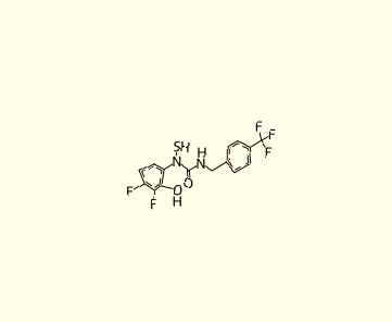 O=C(NCc1ccc(C(F)(F)F)cc1)N(S)c1ccc(F)c(F)c1O